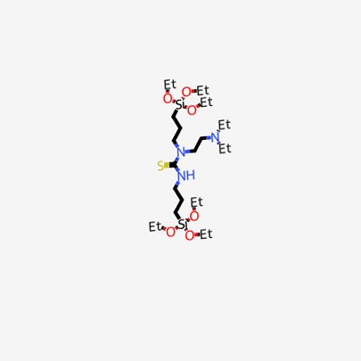 CCO[Si](CCCNC(=S)N(CCC[Si](OCC)(OCC)OCC)CCN(CC)CC)(OCC)OCC